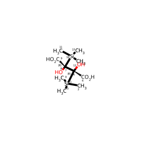 C[Si](C)(C)[C@](O)(C(=O)O)[C@@](O)(C(=O)O)[Si](C)(C)C